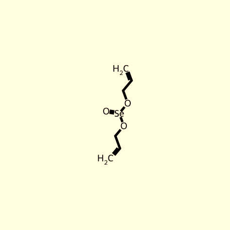 C=CCO[Se](=O)OCC=C